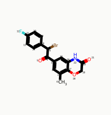 Cc1cc(C(=O)C(Br)c2ccc(F)cc2)cc2c1OCC(=O)N2